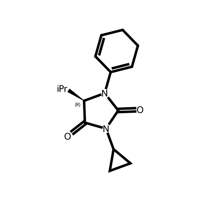 CC(C)[C@@H]1C(=O)N(C2CC2)C(=O)N1C1=CCCC=C1